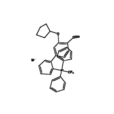 COc1ccc(-c2ccccc2[P+](C)(c2ccccc2)c2ccccc2)cc1OC1CCCC1.[Br-]